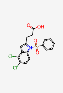 O=C(O)CCc1cc2c(Cl)c(Cl)ccc2n1S(=O)(=O)c1ccccc1